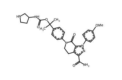 COc1ccc(-n2nc(C(N)=O)c3c2C(=O)N(c2ccc(C(C)(C)OC(=O)NC4CCNC4)cc2)CC3)cc1